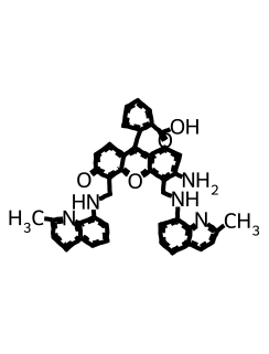 Cc1ccc2cccc(NCc3c4oc5c(CNc6cccc7ccc(C)nc67)c(N)ccc5c(-c5ccccc5C(=O)O)c-4ccc3=O)c2n1